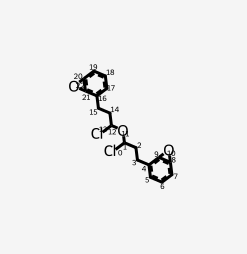 ClC(CCc1cccc2c1O2)OC(Cl)CCc1cccc2c1O2